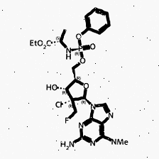 CCOC(=O)[C@H](C)N[P@@](=O)(OC[C@H]1O[C@@H](n2cnc3c(NC)nc(N)nc32)[C@@](Cl)(CF)[C@@H]1O)Oc1ccccc1